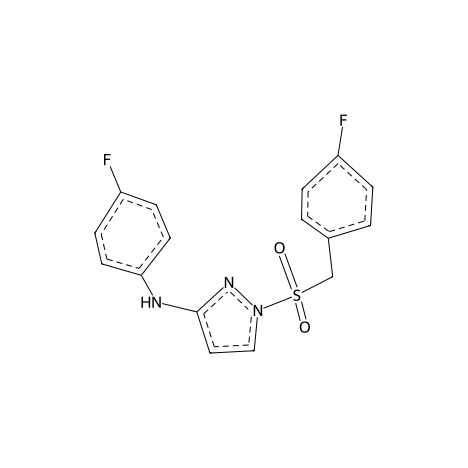 O=S(=O)(Cc1ccc(F)cc1)n1ccc(Nc2ccc(F)cc2)n1